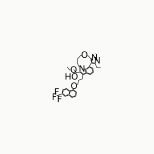 CCOC(O)c1c(CCCOc2cccc3cc(C(F)(F)F)ccc23)c2cccc3c2n1CCCCOCc1c-3c(CC)nn1C